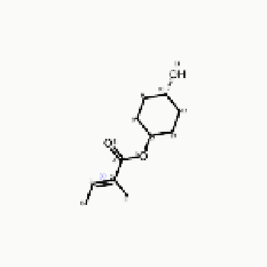 C/C=C(\C)C(=O)O[C@H]1CC[C@H](O)CC1